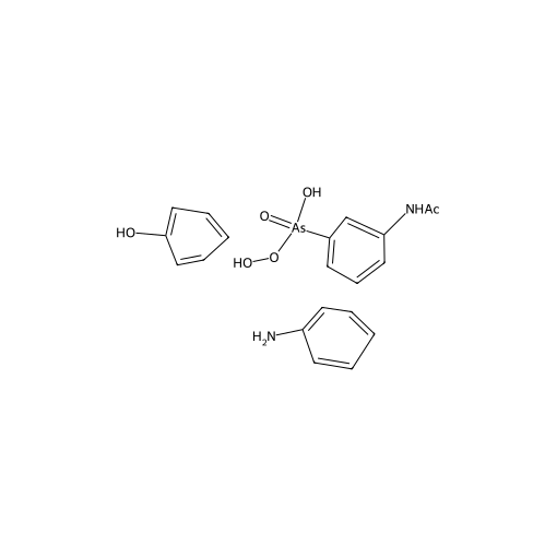 CC(=O)Nc1cccc([As](=O)(O)OO)c1.Nc1ccccc1.Oc1ccccc1